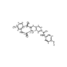 CCc1ccc(NC(=O)c2ccc(CN3C(=O)c4ccc(Cl)cc4NC(=O)C3C)cc2)nc1